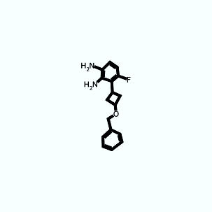 Nc1ccc(F)c(C2CC(OCc3ccccc3)C2)c1N